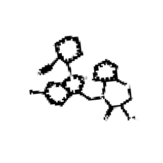 N#Cc1ccccc1-n1nc(CN2C(=O)C(N)COc3ccccc32)c2ccc(F)cc21